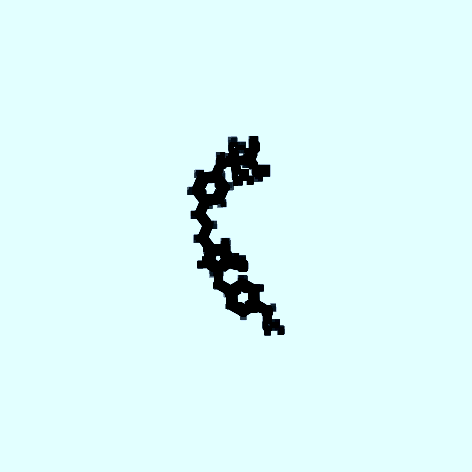 COc1ccc(Cn2nc(CCCc3ccc(OC(C)(C)C(=O)O)cc3)oc2=O)cc1